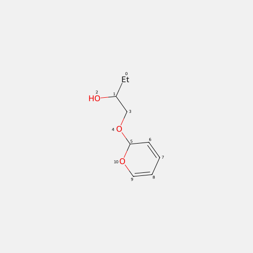 CCC(O)COC1C=CC=CO1